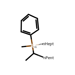 CCCCCCC[S@](C)(c1ccccc1)C(C)CCCCC